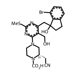 CSc1nc(CC2(O)CCc3cccc(Br)c32)c(CO)c(N2CCN(C(=O)O)[C@@H](CC#N)C2)n1